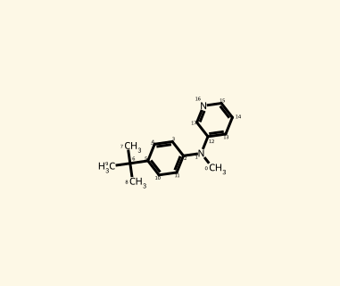 CN(c1c[c]c(C(C)(C)C)cc1)c1cccnc1